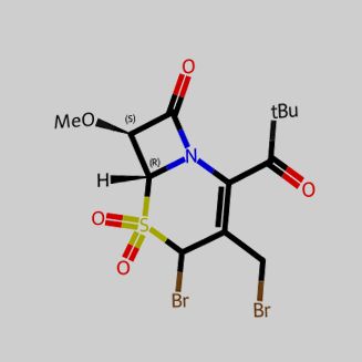 CO[C@H]1C(=O)N2C(C(=O)C(C)(C)C)=C(CBr)C(Br)S(=O)(=O)[C@H]12